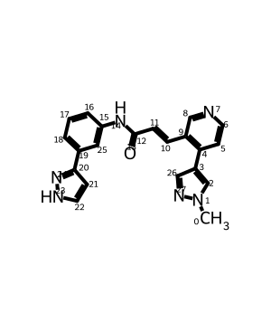 Cn1cc(-c2ccncc2C=CC(=O)Nc2cccc(-c3cc[nH]n3)c2)cn1